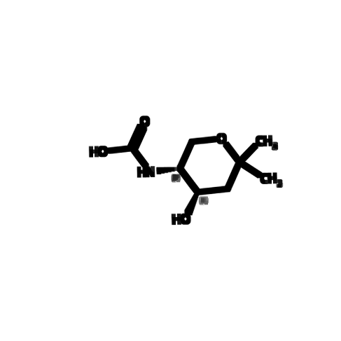 CC1(C)C[C@@H](O)[C@H](NC(=O)O)CO1